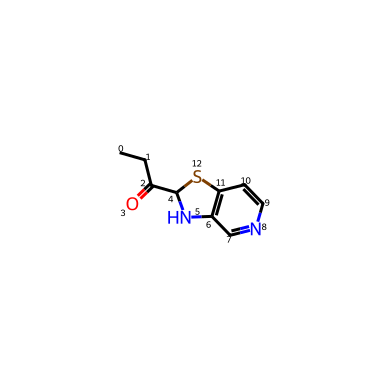 CCC(=O)C1Nc2cnccc2S1